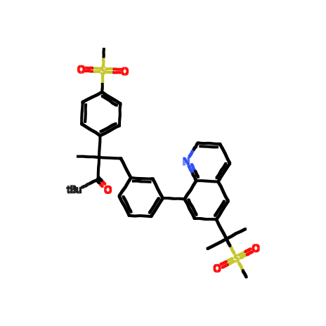 CC(C)(C)C(=O)C(C)(Cc1cccc(-c2cc(C(C)(C)S(C)(=O)=O)cc3cccnc23)c1)c1ccc(S(C)(=O)=O)cc1